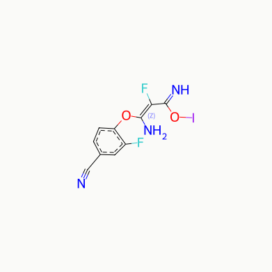 N#Cc1ccc(O/C(N)=C(\F)C(=N)OI)c(F)c1